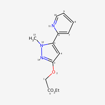 CCOC(=O)COc1cc(-c2ccccn2)n(C)n1